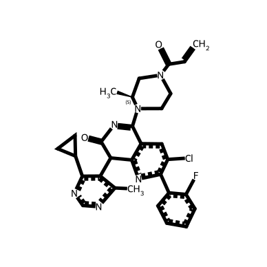 C=CC(=O)N1CCN(C2=NC(=O)C(c3c(C)ncnc3C3CC3)c3nc(-c4ccccc4F)c(Cl)cc32)[C@@H](C)C1